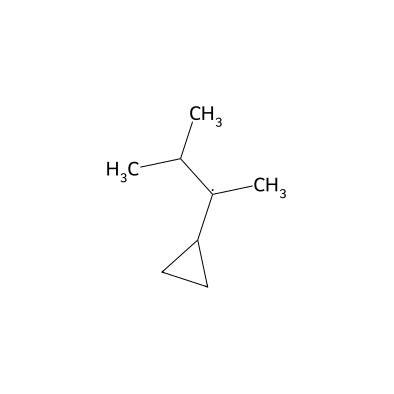 C[C](C(C)C)C1CC1